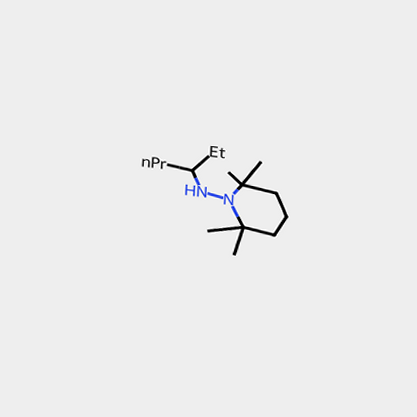 CCCC(CC)NN1C(C)(C)CCCC1(C)C